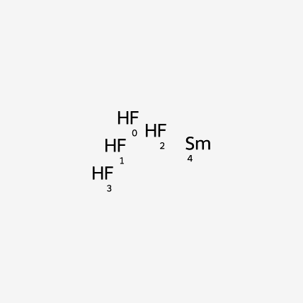 F.F.F.F.[Sm]